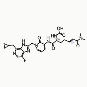 CN(C)C(=O)/C=C/CC[C@H](NC(=O)O)C(=O)Nc1cccn(Cc2nc3c(F)cnc(CC4CC4)c3[nH]2)c1=O